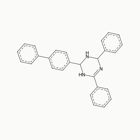 c1ccc(C2=NC(c3ccccc3)NC(c3ccc(-c4ccccc4)cc3)N2)cc1